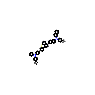 C[Si](C)(C)c1ccc(N(c2ccccc2)c2ccc(-c3ccc4c(c3)Sc3cccc5c(-c6ccc7cc(N(c8ccc([Si](C)(C)C)cc8)c8ccc9ccccc9c8)ccc7c6)ccc-4c35)cc2)cc1